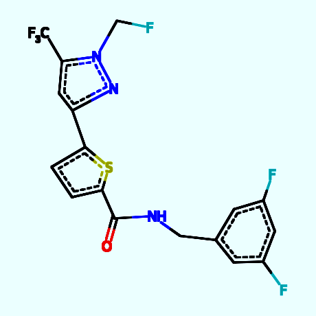 O=C(NCc1cc(F)cc(F)c1)c1ccc(-c2cc(C(F)(F)F)n(CF)n2)s1